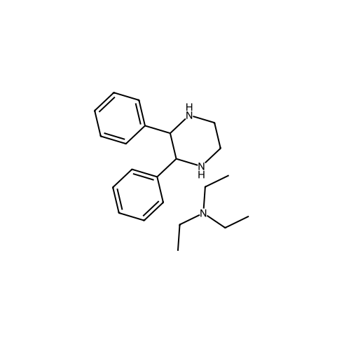 CCN(CC)CC.c1ccc(C2NCCNC2c2ccccc2)cc1